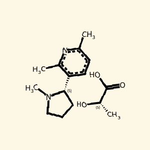 C[C@H](O)C(=O)O.Cc1ccc([C@@H]2CCCN2C)c(C)n1